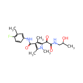 Cc1cc(NC(=O)c2c(C)c(C(=O)C(=O)NCC(C)O)n(C)c2C)ccc1F